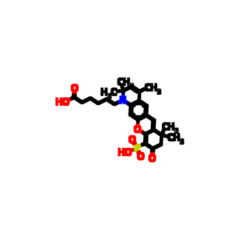 CC1=CC(C)(C)N(CCCCCC(=O)O)c2cc3c(cc21)C=C1C(=C(S(=O)(=O)O)C(=O)CC1(C)C)O3